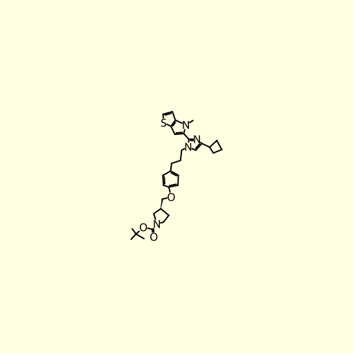 Cn1c(-c2nc(C3CCC3)cn2CCCc2ccc(OC[C@H]3CCN(C(=O)OC(C)(C)C)C3)cc2)cc2sccc21